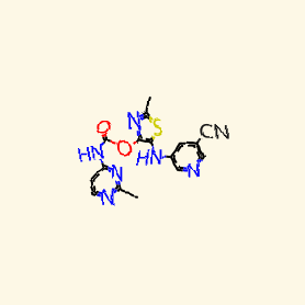 Cc1nccc(NC(=O)Oc2nc(C)sc2Nc2cncc(C#N)c2)n1